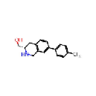 OC[C@@H]1Cc2ccc(-c3ccc(C(F)(F)F)cc3)cc2CN1